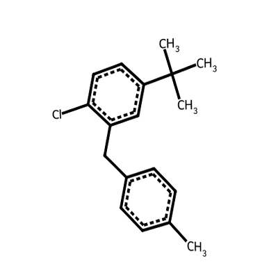 Cc1ccc(Cc2cc(C(C)(C)C)ccc2Cl)cc1